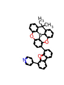 CC1(C)c2cccc3c2B2c4c(cccc41)Oc1c(-c4cccc5c4oc4c(-c6ccncc6)cccc45)ccc(c12)O3